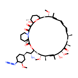 CO[C@H]1C[C@@H]2CC[C@@H](C)[C@@](O)(O2)C(=O)C(=O)N2CCCC[C@H]2C(=O)O[C@H]([C@H](N)C[C@@H]2CCC(N=[N+]=[N-])[C@H](OC)C2)C[C@@H](OC)[C@H](C)/C=C(\C)[C@@H](O)[C@@H](OC)C(=O)[C@H](C)C[C@H](C)/C=C/C=C/C=C/1C